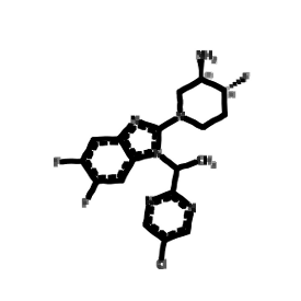 CC(c1ncc(Cl)cn1)n1c(N2CC[C@@H](F)[C@H](N)C2)nc2cc(F)c(F)cc21